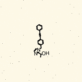 CC(O)c1nccn1Cc1ccc(C#Cc2ccccc2)cc1